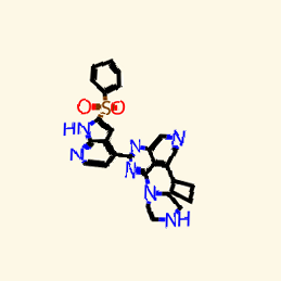 O=S(=O)(c1ccccc1)c1cc2c(-c3nc(N4CCNCC4)c4c(C5CCC5)cncc4n3)ccnc2[nH]1